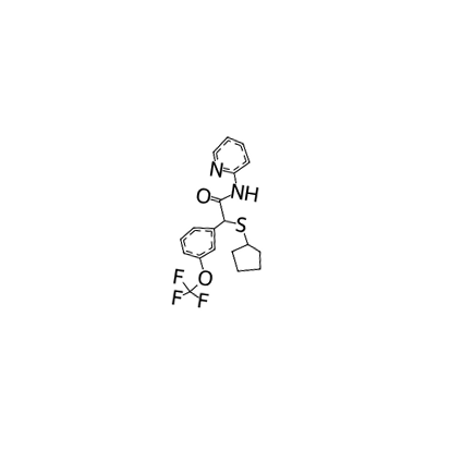 O=C(Nc1ccccn1)C(SC1CCCC1)c1cccc(OC(F)(F)F)c1